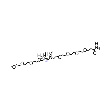 CNN(/C=C(\N)COCCOCCOCCOC)CCOCCOCCOCCOCCC(=O)NI